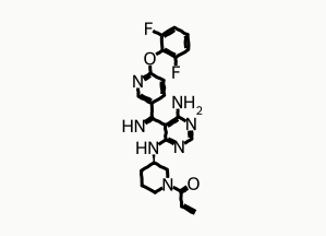 C=CC(=O)N1CCC[C@@H](Nc2ncnc(N)c2C(=N)c2ccc(Oc3c(F)cccc3F)nc2)C1